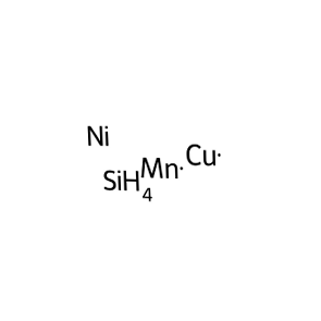 [Cu].[Mn].[Ni].[SiH4]